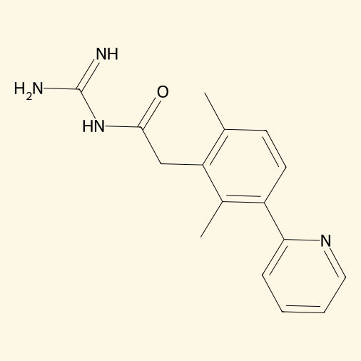 Cc1ccc(-c2ccccn2)c(C)c1CC(=O)NC(=N)N